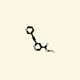 COC(=O)c1cnnc(C#Cc2cccnc2)c1